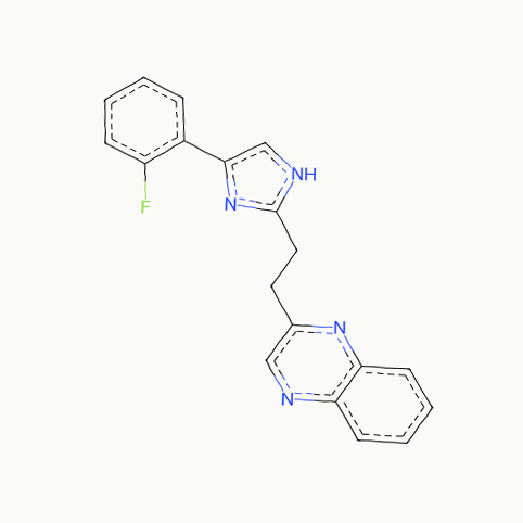 Fc1ccccc1-c1c[nH]c(CCc2cnc3ccccc3n2)n1